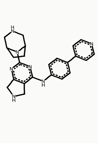 c1cc(-c2ccc(Nc3nc(N4C5CCC4CNC5)nc4c3CNC4)cc2)ccn1